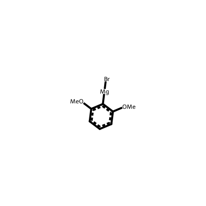 COc1cccc(OC)[c]1[Mg][Br]